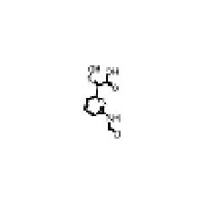 O=CNc1cccc(/C(=N/O)C(=O)O)n1